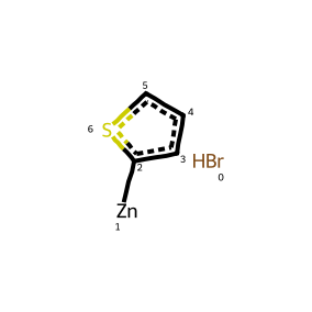 Br.[Zn][c]1cccs1